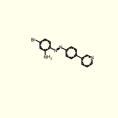 Nc1cc(Br)ccc1N=Nc1ccc(-c2cccnc2)cc1